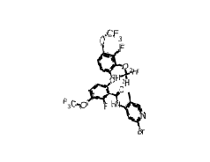 [2H]C([2H])([2H])Oc1c(Oc2ccc(OC(F)(F)F)c(F)c2C(=O)Nc2cc(Br)ncc2C)ccc(OC(F)(F)F)c1F